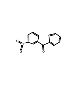 O=C(c1ccccc1)c1cccc([SH](=O)=O)c1